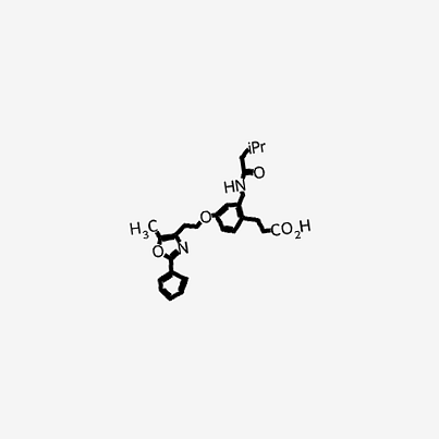 Cc1oc(-c2ccccc2)nc1CCOc1ccc(CCC(=O)O)c(CNC(=O)CC(C)C)c1